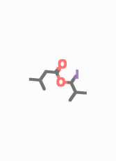 CC(C)CC(=O)OC(I)C(C)C